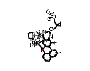 Cc1cc(-c2c(F)cc3c(N4CC5CCC(C4)N5C(=O)OC(C)(C)C)nc(OCC4(COS(C)(=O)=O)CC4)nc3c2F)c2c(C#C[Si](C(C)C)(C(C)C)C(C)C)cccc2c1